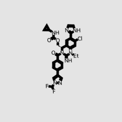 CCNC(=N)N(C(=O)c1ccc(-c2cnn(C(F)F)c2)cc1)[C@H](COC(=O)NC1CC1)c1ccc(Cl)c(-c2ncc[nH]2)c1